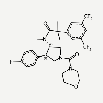 CN(C(=O)C(C)(C)c1cc(C(F)(F)F)cc(C(F)(F)F)c1)[C@@H]1CN(C(=O)N2CCOCC2)C[C@H]1c1ccc(F)cc1